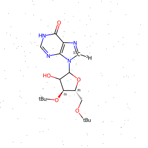 [2H][13c]1nc2c(=O)[nH]cnc2n1C1O[C@H](COC(C)(C)C)[C@@H](OC(C)(C)C)C1O